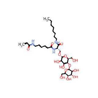 C=CC(=O)NCCCCCC(=O)N[C@@H](CO[C@@H]1O[C@@H](CO)[C@@H](O[C@@H]2OC(CO)[C@H](O)[C@H](O)C2O)C(O)C1O)C(=O)NCCCCCCCC